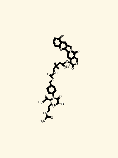 CC[C@@]1(OC(=O)CC(C)(C)CNC(=O)OCc2ccc(N(C(=O)[C@@H](N)C(C)C)[C@@H](CCCNC(N)=O)C(N)=O)cc2)C(=O)OCc2c1cc1n(c2=O)Cc2cc3c(Br)cccc3nc2-1